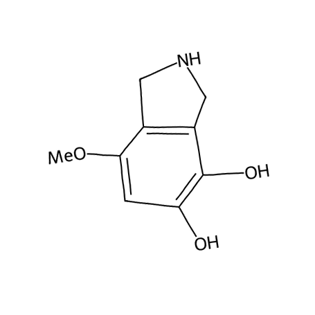 COc1cc(O)c(O)c2c1CNC2